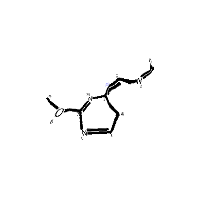 C=N/C=C1\CC=NC(OC)=N1